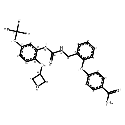 NC(=O)c1ccc(Oc2ccccc2CNC(=O)Nc2cc(OC(F)(F)F)ccc2OC2COC2)cc1